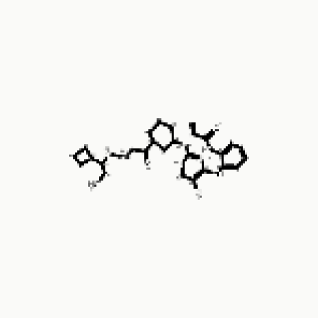 C=CC(=O)Nc1ccccc1Nc1nc(NC2CCCC(C(=O)CNOC(CO)C3CCC3)C2)ncc1Cl